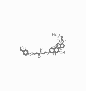 C[C@@H](CCC(=O)O)[C@H]1CC[C@@H]2[C@@H]3[C@@H](C[C@@H](O)[C@]21C)[C@]1(C)CC[C@H](OCCNC(=O)CCSSc2ccc(CC(C)(C)C)cc2)C[C@@H]1C[C@@H]3O